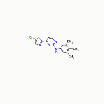 Cc1cc(Nc2nccc(-c3ncc(Cl)s3)n2)cc(C)c1C